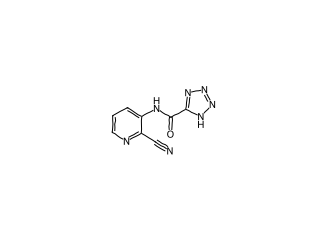 N#Cc1ncccc1NC(=O)c1nnn[nH]1